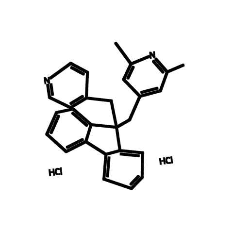 Cc1cc(CC2(Cc3ccncc3)c3ccccc3-c3ccccc32)cc(C)n1.Cl.Cl